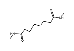 CNC(=O)CCCSCCC(=O)NC